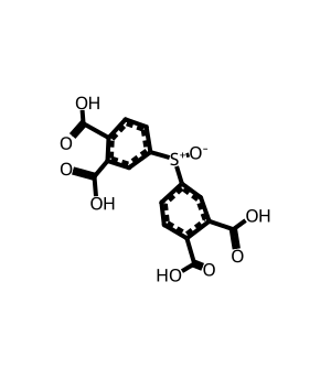 O=C(O)c1ccc([S+]([O-])c2ccc(C(=O)O)c(C(=O)O)c2)cc1C(=O)O